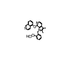 Cc1c(C)n(Cc2ccccc2Cl)c2c(Oc3cccc4cnccc34)nccc12.Cl